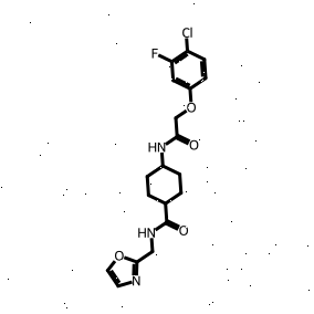 O=C(COc1ccc(Cl)c(F)c1)NC1CCC(C(=O)NCc2ncco2)CC1